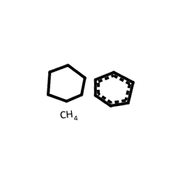 C.C1CCCCC1.c1ccccc1